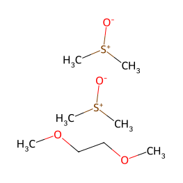 COCCOC.C[S+](C)[O-].C[S+](C)[O-]